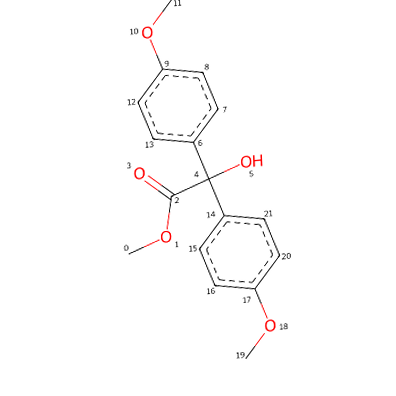 COC(=O)C(O)(c1ccc(OC)cc1)c1ccc(OC)cc1